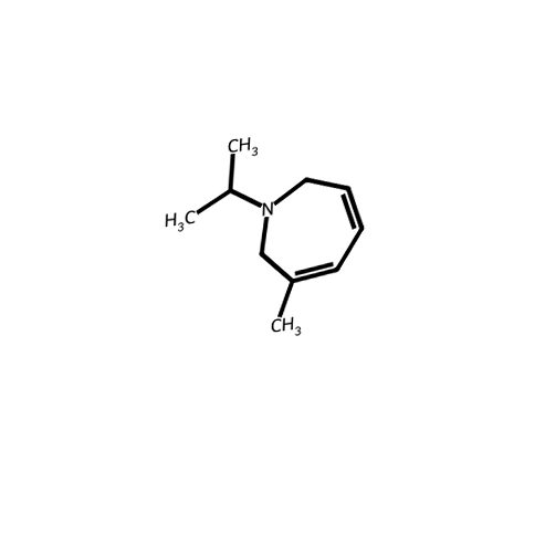 CC1=CC=CCN(C(C)C)C1